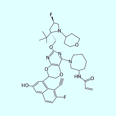 C#Cc1c(F)ccc2cc(O)cc(C3COc4c(nc(OC[C@]5(C(C)(C)C)C[C@@H](F)CN5C5CCOCC5)nc4N4CCCCC(NC(=O)C=C)C4)O3)c12